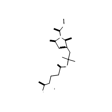 COC(=O)N1C(=O)C=C(CC(C)(C)OC(=O)CC[C@H](N)C(=O)O)C1=O